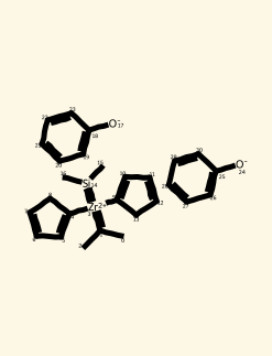 C[C](C)=[Zr+2]([C]1=CC=CC1)([C]1=CC=CC1)=[Si](C)C.[O-]c1ccccc1.[O-]c1ccccc1